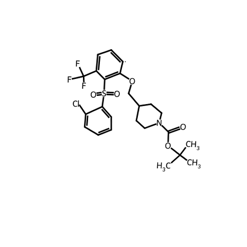 CC(C)(C)OC(=O)N1CCC(COc2[c]ccc(C(F)(F)F)c2S(=O)(=O)c2ccccc2Cl)CC1